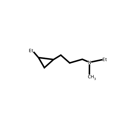 CCC1CC1CCCN(C)CC